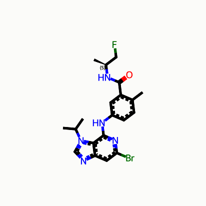 Cc1ccc(Nc2nc(Br)cc3ncn(C(C)C)c23)cc1C(=O)N[C@@H](C)CF